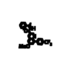 COc1cc(-c2ccc(C(F)(F)F)cc2)c2ncc(C(=O)N[C@H](C)c3ccccn3)cc2c1